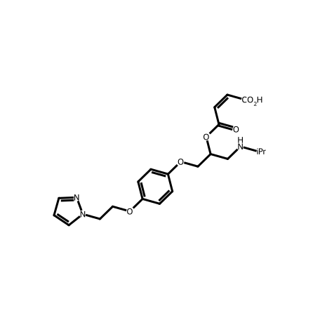 CC(C)NCC(COc1ccc(OCCn2cccn2)cc1)OC(=O)/C=C\C(=O)O